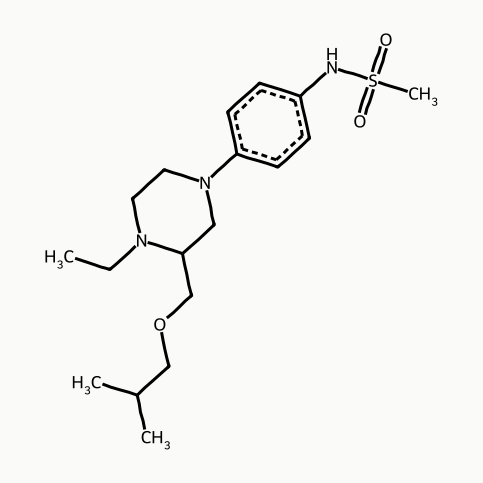 CCN1CCN(c2ccc(NS(C)(=O)=O)cc2)CC1COCC(C)C